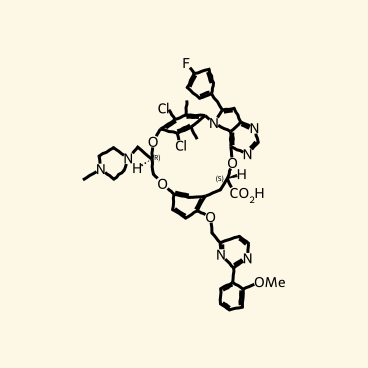 COc1ccccc1-c1nccc(COc2ccc3cc2C[C@@H](C(=O)O)Oc2ncnc4cc(-c5ccc(F)cc5)n(c24)-c2c(C)c(Cl)c(c(Cl)c2C)O[C@H](CN2CCN(C)CC2)CO3)n1